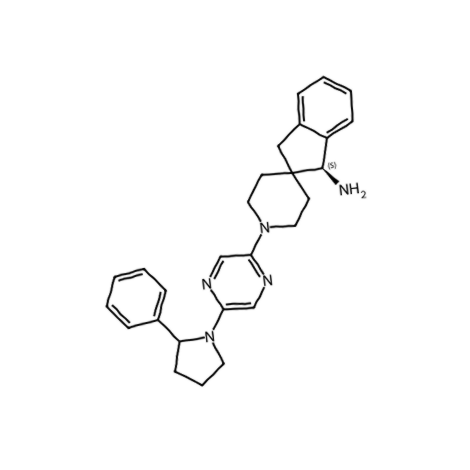 N[C@@H]1c2ccccc2CC12CCN(c1cnc(N3CCCC3c3ccccc3)cn1)CC2